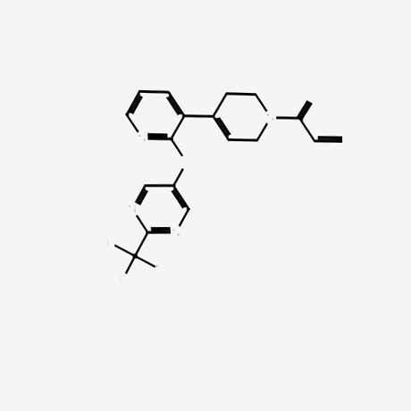 C=CC(=O)N1CC=C(c2cccnc2Oc2cnc(C(F)(F)F)nc2)CC1